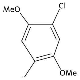 [CH2]c1cc(OC)c(Cl)cc1OC